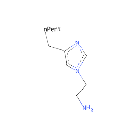 CCCCCCc1cn(CCN)cn1